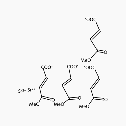 COC(=O)/C=C/C(=O)[O-].COC(=O)/C=C/C(=O)[O-].COC(=O)/C=C/C(=O)[O-].COC(=O)/C=C/C(=O)[O-].[Sr+2].[Sr+2]